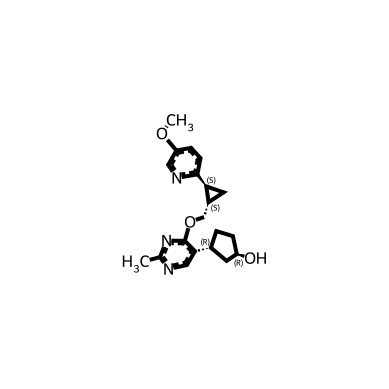 COc1ccc([C@H]2C[C@@H]2COc2nc(C)ncc2[C@@H]2CC[C@@H](O)C2)nc1